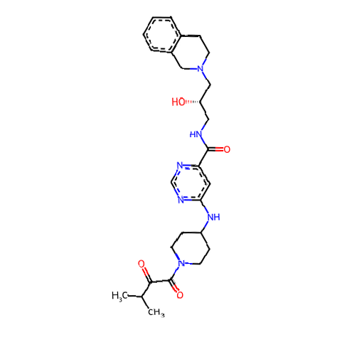 CC(C)C(=O)C(=O)N1CCC(Nc2cc(C(=O)NC[C@H](O)CN3CCc4ccccc4C3)ncn2)CC1